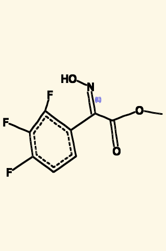 COC(=O)/C(=N/O)c1ccc(F)c(F)c1F